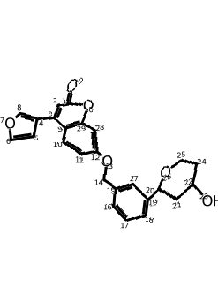 O=c1cc(-c2ccoc2)c2ccc(OCc3cccc(C4CC(O)CCO4)c3)cc2o1